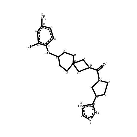 O=C(N1CCC(c2nnc[nH]2)C1)N1CC2(CCC(Oc3ccc(C(F)(F)F)cc3F)CC2)C1